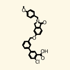 COc1ccc(CN2Cc3cc(OCc4cccc(-c5ccc(Cl)c(C(=O)O)c5)c4)ccc3C2=O)cc1